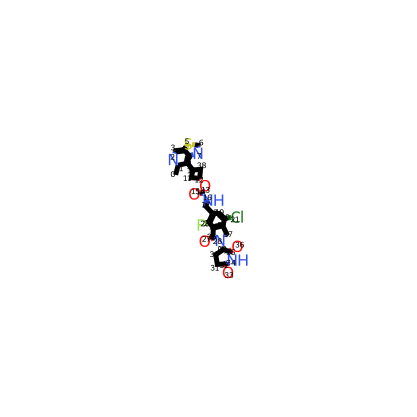 Cc1ncc2scnc2c1C1CC(OC(=O)NCc2cc(Cl)c3c(c2F)C(=O)N([C@H]2CCC(=O)NC2=O)C3)C1